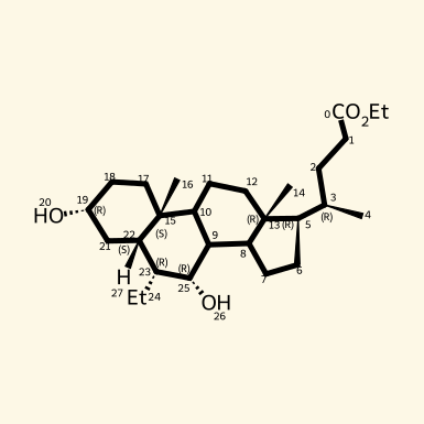 CCOC(=O)CC[C@@H](C)[C@H]1CCC2C3C(CC[C@@]21C)[C@@]1(C)CC[C@@H](O)C[C@H]1[C@@H](CC)[C@H]3O